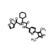 Cc1n[nH]c(C)c1-c1ccc(NC(=O)C(NC(=O)c2ccnn2C)C2CCCCC2)cn1